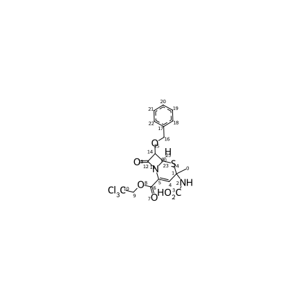 CC1(NC(=O)O)C=C(C(=O)OCC(Cl)(Cl)Cl)N2C(=O)C(OCc3ccccc3)[C@H]2S1